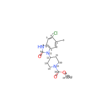 Cc1cc2c(cc1Cl)[nH]c(=O)n2C1CCN(C(=O)OC(C)(C)C)CC1